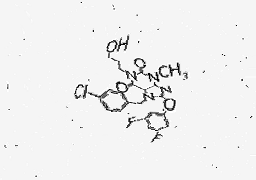 CN1C(=O)N(CCCO)C(=O)C2C1N=C(Oc1cc(F)cc(F)c1)N2Cc1ccc(Cl)cc1